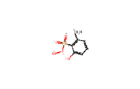 O=S(=O)(O)c1cccc(O)c1S(=O)(=O)OO